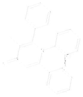 Cc1c(-c2ccccc2)n(-c2c(F)cccc2F)c(-c2ccccc2Cl)cc1=O